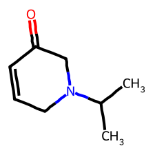 CC(C)N1CC=CC(=O)C1